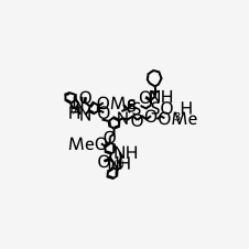 COCCOCCOCCN(CC(C)(C)SSCCC(C(=O)NC(C)(C)C1CCCCCCC1)S(=O)(=O)O)c1cc(COc2cc3c(cc2OC)C(=O)N2c4ccccc4C[C@H]2C=N3)cc(COc2cc3c(cc2OC)C(=O)N2c4ccccc4C[C@H]2CN3)c1